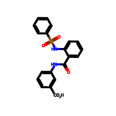 O=C(O)c1cccc(NC(=O)c2ccccc2NS(=O)(=O)c2ccccc2)c1